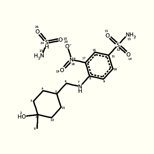 CC1(O)CCC(CNc2ccc(S(N)(=O)=O)cc2[N+](=O)[O-])CC1.N[SH](=O)=O